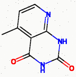 Cc1ccnc2[nH]c(=O)[nH]c(=O)c12